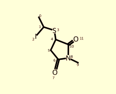 CC(I)SC1CC(=O)N(C)C1=O